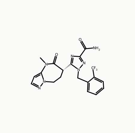 CN1C(=O)[C@H](c2nc(C(N)=O)nn2Cc2ccccc2C(F)(F)F)CCn2nccc21